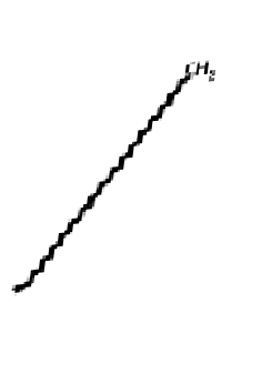 [C]#CCCCCCCCCCCCCCCCCCCCCCCCCCCCCCCCCC[CH2]